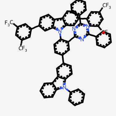 FC(F)(F)c1cc(-c2ccc3c4ccc(-c5cc(C(F)(F)F)cc(C(F)(F)F)c5)cc4n(-c4ccc(-c5ccc6c(c5)c5ccccc5n6-c5ccccc5)cc4-c4nc(-c5ccccc5)nc(-c5ccccc5)n4)c3c2)cc(C(F)(F)F)c1